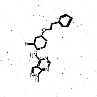 FC1C[C@@H](OCCc2ccccc2)CC[C@@H]1Nc1ncnc2[nH]ncc12